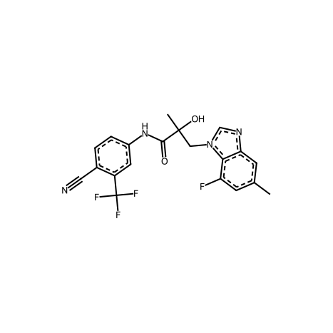 Cc1cc(F)c2c(c1)ncn2CC(C)(O)C(=O)Nc1ccc(C#N)c(C(F)(F)F)c1